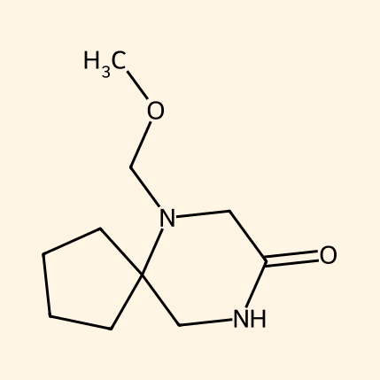 COCN1CC(=O)NCC12CCCC2